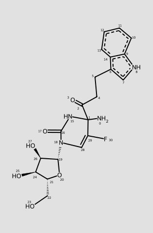 NC1(C(=O)CCc2c[nH]c3ccccc23)NC(=O)N([C@@H]2O[C@H](CO)[C@@H](O)[C@H]2O)C=C1F